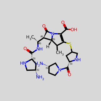 CC1C(SC2CN[C@H](C(=O)N3CC[C@H](N)C3)C2)=C(C(=O)O)N2C(=O)[C@H]([C@@H](C)NC(=O)[C@@H]3C[C@H](N)CN3)[C@@H]12